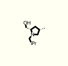 CC(C)CN1C[C@@H](C)C[C@H]1CO